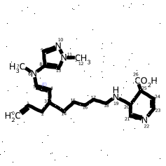 C=CCC(/C=C/N(C)c1cnn(C)c1)CCCCCNC1C=NC=CC1C(=O)O